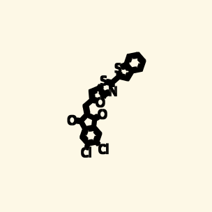 O=C1C(=Cc2cc3sc(-c4cc5ccccc5s4)nc3o2)C(=O)c2cc(Cl)c(Cl)cc21